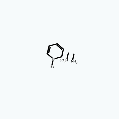 CCN1C=CC=CC1.CN.CS(=O)(=O)O